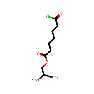 CCCCCCCCC(CCCCCC)COC(=O)CCCCCC(=O)Cl